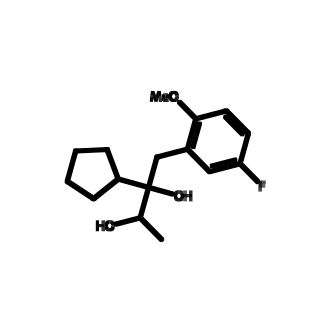 COc1ccc(F)cc1CC(O)(C(C)O)C1CCCC1